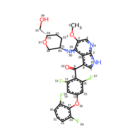 COc1cnc2[nH]cc(C(=O)c3c(F)cc(Oc4c(F)cccc4F)cc3F)c2c1N[C@@H]1CC[C@@H](CO)OC1